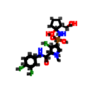 Cn1cc(S(=O)(=O)N[C@]2(O)CCC[C@@H]2CO)c(F)c1C(=O)Nc1ccc(F)c(F)c1